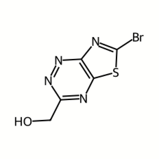 OCc1nnc2nc(Br)sc2n1